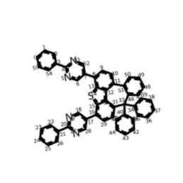 c1ccc(-c2ncc(-c3ccc4c5c3sc3c(-c6cnc(-c7ccccc7)nc6)ccc(c35)C(c3ccccc3)(c3ccccc3)c3ccccc3-4)cn2)cc1